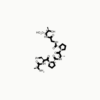 CC(C)C[C@H](NC(=O)[C@H](C)N)C(=O)N1CCC[C@H]1C(=O)N[C@@H](C)C(=O)N1CCC[C@H]1C(=O)NCC(=O)N[C@H](C(=O)O)[C@@H](C)O